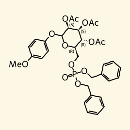 COc1ccc(OC2O[C@H](COP(=O)(OCc3ccccc3)OCc3ccccc3)[C@@H](OC(C)=O)[C@H](OC(C)=O)[C@@H]2OC(C)=O)cc1